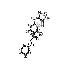 c1ccc(CCc2noc3cc(CC4CSCN4)ccc23)nc1